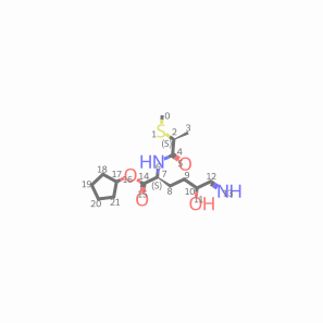 CS[C@@H](C)C(=O)N[C@@H](CCC(O)C=N)C(=O)OC1CCCC1